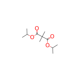 CC(C)OC(=O)C(C)(C)C(=O)OC(C)C